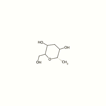 C[C@@H]1OC(CO)C(O)CC1O